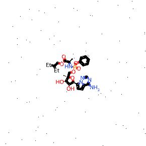 CCC(CC)COC(=O)[C@@H](C)N[P@@](=O)(OC[C@@]1(C)O[C@@H](c2ccc3c(N)ncnn23)[C@H](O)[C@@H]1O)Oc1ccccc1